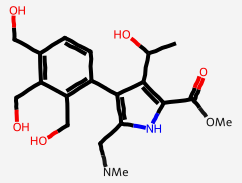 CNCc1[nH]c(C(=O)OC)c(C(C)O)c1-c1ccc(CO)c(CO)c1CO